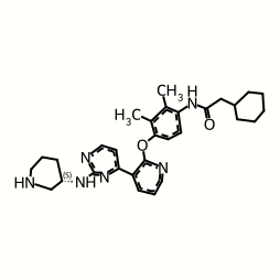 Cc1c(NC(=O)CC2CCCCC2)ccc(Oc2ncccc2-c2ccnc(N[C@H]3CCCNC3)n2)c1C